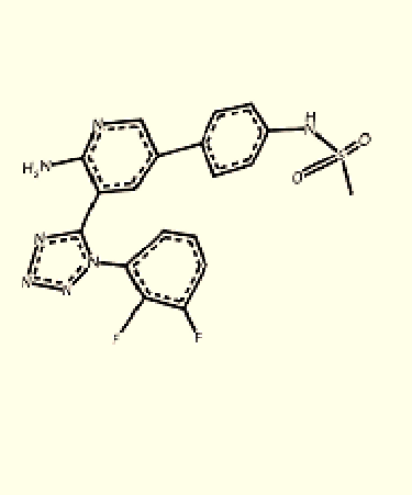 CS(=O)(=O)Nc1ccc(-c2cnc(N)c(-c3nnnn3-c3cccc(F)c3F)c2)cc1